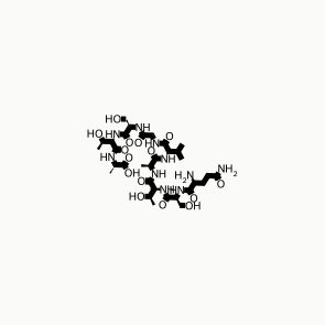 CC(C)[C@H](NC(=O)[C@H](C)NC(=O)[C@@H](NC(=O)[C@H](CO)NC(=O)[C@@H](N)CCC(N)=O)[C@@H](C)O)C(=O)NCC(=O)N[C@@H](CO)C(=O)N[C@H](C(=O)N[C@@H](C)C(=O)O)[C@@H](C)O